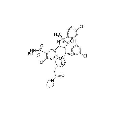 CCOc1cc(Cl)c(S(=O)(=O)NC(C)(C)C)cc1C1=N[C@](C)(c2ccc(Cl)cc2)[C@@](C)(c2ccc(Cl)cc2)N1C(=O)N1CCN(CC(=O)N2CCCC2)CC1